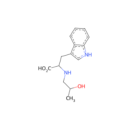 CC(O)CNC(Cc1c[nH]c2ccccc12)C(=O)O